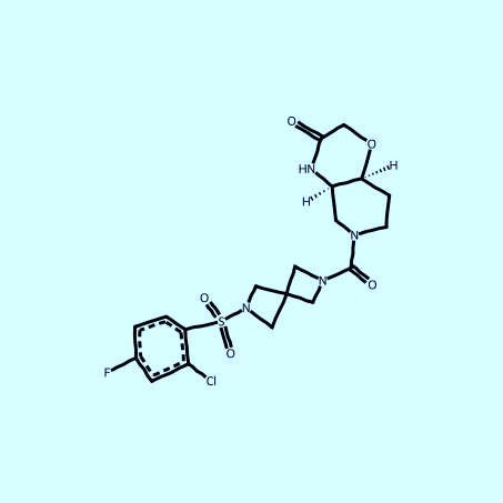 O=C1CO[C@H]2CCN(C(=O)N3CC4(C3)CN(S(=O)(=O)c3ccc(F)cc3Cl)C4)C[C@H]2N1